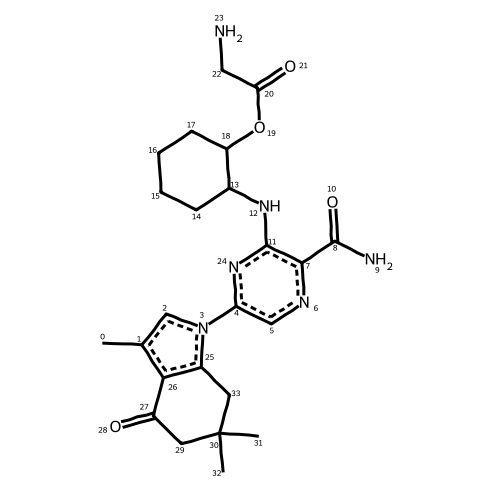 Cc1cn(-c2cnc(C(N)=O)c(NC3CCCCC3OC(=O)CN)n2)c2c1C(=O)CC(C)(C)C2